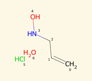 C=CCNO.Cl.O